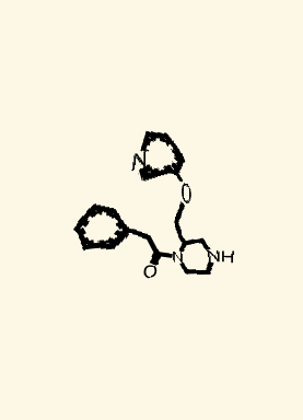 O=C(Cc1ccccc1)N1CCNCC1COc1cccnc1